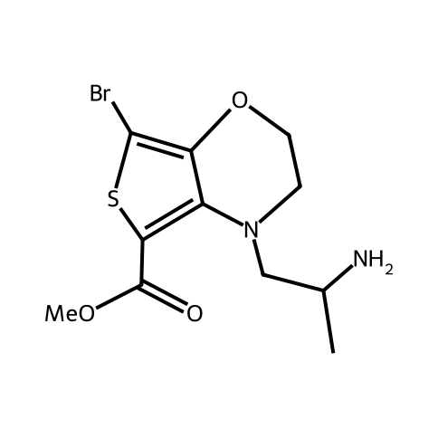 COC(=O)c1sc(Br)c2c1N(CC(C)N)CCO2